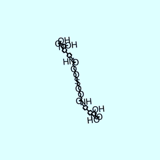 O=C(CCOCCOCCSSCCOCCOCCC(=O)NCc1ccc(-c2ccc3nc(C(=O)O)cc(O)c3c2)cc1)NCc1ccc(-c2ccc3nc(C(=O)O)cc(O)c3c2)cc1